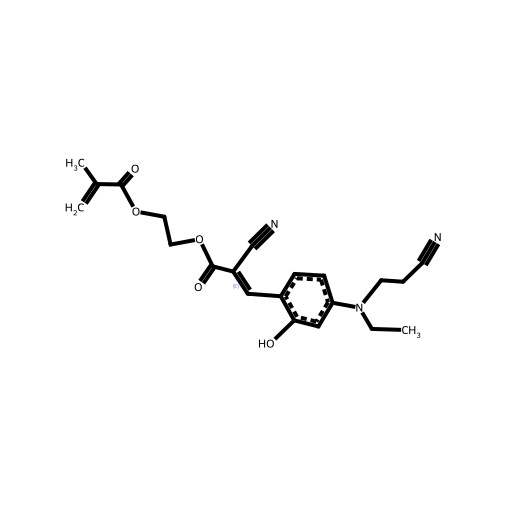 C=C(C)C(=O)OCCOC(=O)/C(C#N)=C/c1ccc(N(CC)CCC#N)cc1O